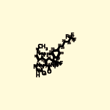 CCn1ccc(C2=C(n3nn[nH]c3=O)C(=O)NC(c3ccc(CCCCC(F)(F)F)cc3F)(C(F)(F)F)C2)n1